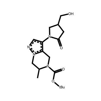 CC1Cn2ncc(N3CC(CO)CC3=O)c2CN1C(=O)OC(C)(C)C